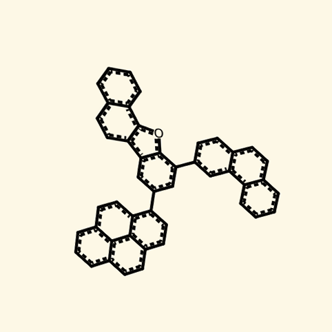 c1ccc2c(c1)ccc1ccc(-c3cc(-c4ccc5ccc6cccc7ccc4c5c67)cc4c3oc3c5ccccc5ccc43)cc12